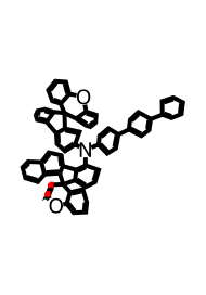 c1ccc(-c2ccc(-c3ccc(N(c4ccc5c(c4)C4(c6ccccc6Oc6ccccc64)c4ccccc4-5)c4cccc5c4-c4ccc6ccccc6c4C54c5ccccc5Oc5ccccc54)cc3)cc2)cc1